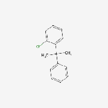 CC(C)(c1ccccc1)c1ccccc1Cl